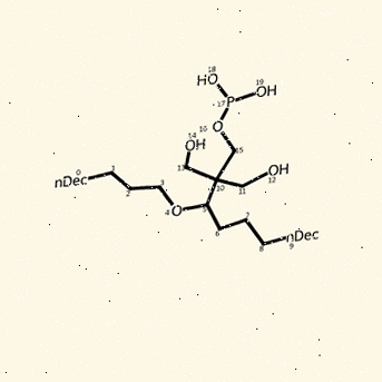 CCCCCCCCCCCCCOC(CCCCCCCCCCCCC)C(CO)(CO)COP(O)O